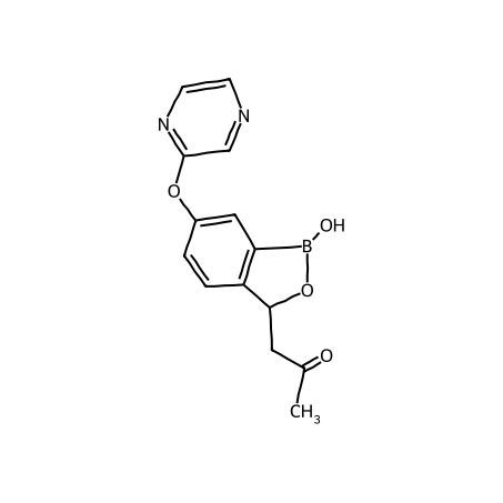 CC(=O)CC1OB(O)c2cc(Oc3cnccn3)ccc21